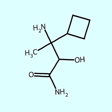 CC(N)(C1CCC1)C(O)C(N)=O